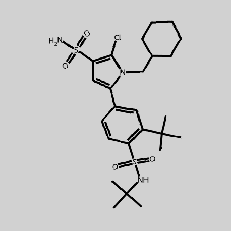 CC(C)(C)NS(=O)(=O)c1ccc(-c2cc(S(N)(=O)=O)c(Cl)n2CC2CCCCC2)cc1C(C)(C)C